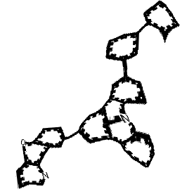 c1ccc(-c2cccc(-c3ccc4c(c3)c3cc(-c5ccc6oc7cccnc7c6c5)cc5c6ccccc6n4c53)c2)cc1